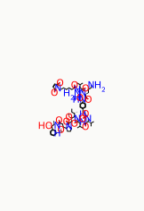 CC[C@H](C)[C@@H]([C@@H](CC(=O)N1CCC[C@H]1[C@H](OC)[C@@H](C)C(=O)N[C@H](C)[C@@H](O)c1ccccc1)OC)N(C)C(=O)[C@@H](NC(=O)[C@H](C(C)C)N(C)C(=O)OCc1ccc(NC(=O)[C@H](CCCN)N(C(N)=O)C(=O)[C@@H](NC(=O)CCCCCN2C(=O)C=CC2=O)C(C)C)cc1)C(C)C